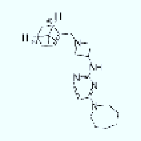 CC1(C)[C@H]2CC=C(CN3CC(Nc4nccc(N5CCCCCC5)n4)C3)[C@@H]1C2